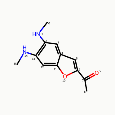 CNc1cc2cc(C(C)=O)oc2cc1NC